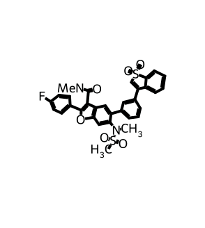 CNC(=O)c1c(-c2ccc(F)cc2)oc2cc(N(C)S(C)(=O)=O)c(-c3cccc(C4=CS(=O)(=O)c5ccccc54)c3)cc12